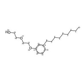 CCCCCCCCCc1cccc(OCCOCCO)c1